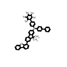 [2H]c1c([2H])c([2H])c(-c2ccc(N(c3ccc(-c4ccccc4)cc3)c3ccc4c(c3)C(C)(C)c3cc(-c5cccc6c5oc5ccccc56)ccc3-4)cc2)c([2H])c1[2H]